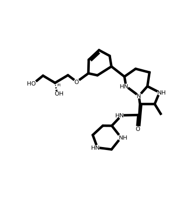 CC1NC2CCC(C3CC=CC(OC[C@H](O)CO)C3)NN2C1C(=O)NC1CCNCN1